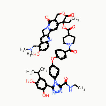 CCNC(=O)c1nnc(-c2cc(C(C)C)c(O)cc2O)n1-c1ccc(Oc2ccc(C(=O)N3CCC(C(=O)OC4(CC)C(=O)OCc5c4cc4n(c5=O)Cc5cc6c(CN(C)C)c(O)ccc6nc5-4)CC3)cc2)cc1